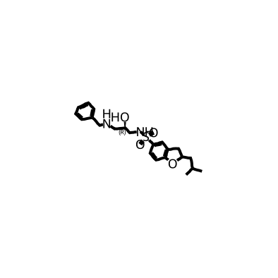 CC(C)CC1Cc2cc(S(=O)(=O)NC[C@H](O)CNCc3ccccc3)ccc2O1